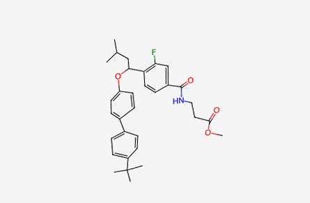 COC(=O)CCNC(=O)c1ccc(C(CC(C)C)Oc2ccc(-c3ccc(C(C)(C)C)cc3)cc2)c(F)c1